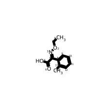 CCO/N=C(/C(=O)O)c1ccccc1C